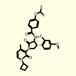 COc1ccc([C@@H]2CN(c3c(C)ccn(C4CCC4)c3=O)C(=O)C2NC(=O)c2ccc(OC(F)F)cc2)c(F)c1